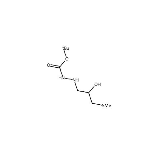 CSCC(O)CNNC(=O)OC(C)(C)C